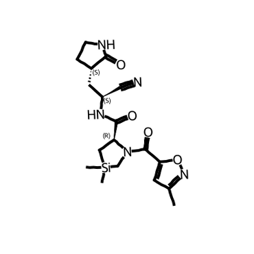 Cc1cc(C(=O)N2C[Si](C)(C)C[C@H]2C(=O)N[C@H](C#N)C[C@@H]2CCNC2=O)on1